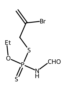 C=C(Br)CSP(=S)(NC=O)OCC